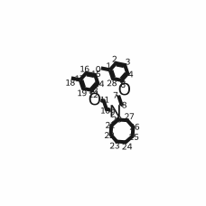 Cc1cccc(OCCN(CCOc2cccc(C)c2)C2CCCCCCC2)c1